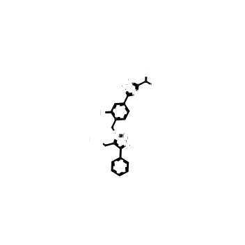 OCc1c(-c2ccccc2)nnn1Cc1ccc(-c2nnc(C(F)F)o2)cc1F